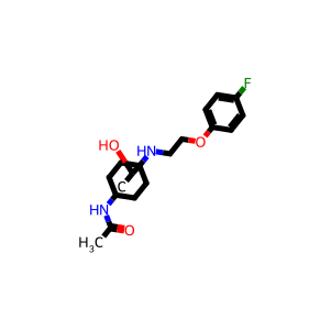 CC(=O)NC12CCC(NCCOc3ccc(F)cc3)(CC1)C(O)C2